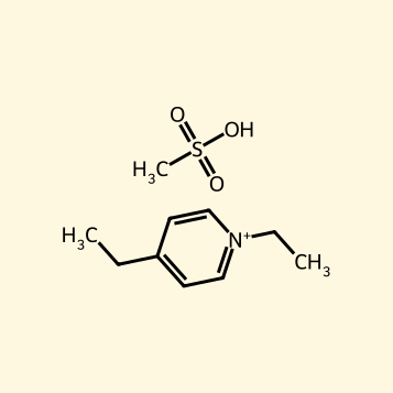 CCc1cc[n+](CC)cc1.CS(=O)(=O)O